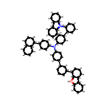 c1cc(-c2ccc(N(c3ccc(-c4ccccc4-n4c5ccccc5c5ccccc54)cc3)c3ccc(-c4cccc5ccccc45)cc3)cc2)cc(-c2cccc3c2oc2ccccc23)c1